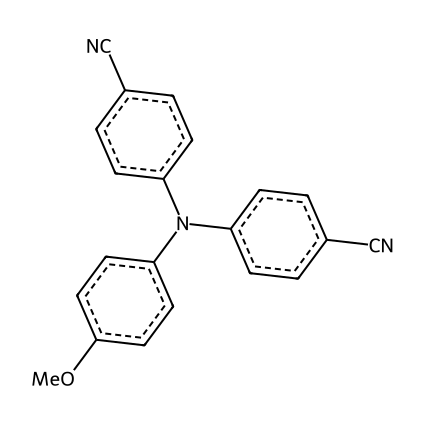 COc1ccc(N(c2ccc(C#N)cc2)c2ccc(C#N)cc2)cc1